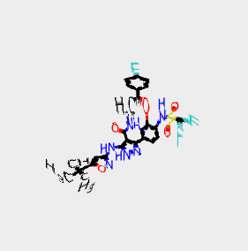 C[C@H](Oc1cc(-c2n[nH]c(Nc3cc(C(C)(C)C)on3)c2C(N)=O)ccc1NS(=O)(=O)C(F)F)c1ccc(F)cc1